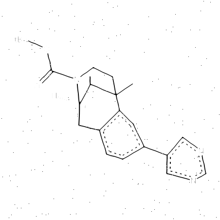 CC1[C@H]2Cc3ccc(-c4cncnc4)cc3C1(C)CCN2C(=O)OC(C)(C)C